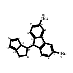 CC(C)(C)c1ccc2c(c1)-c1cc(C(C)(C)C)ccc1C2C1CCC2=CC=CC21